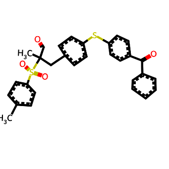 Cc1ccc(S(=O)(=O)C(C)(C=O)Cc2ccc(Sc3ccc(C(=O)c4ccccc4)cc3)cc2)cc1